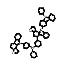 c1ccc(N(c2ccc(-n3c4ccccc4c4ccc5occc5c43)cc2)c2cccc(-c3cc4occc4c4c3c3ccccc3n4-c3ccc4c(c3)c3ccccc3n4-c3ccccc3)c2)cc1